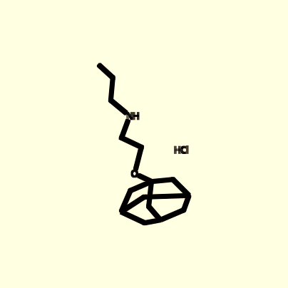 CCCNCCOC12CC3CC(CC(C3)C1)C2.Cl